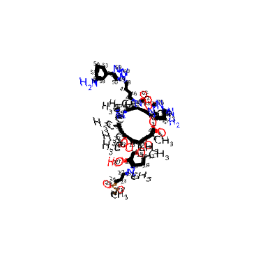 CC[C@H]1OC(=O)[C@H](C)C(=O)[C@H](C)[C@@H](O[C@@H]2O[C@H](C)CC(N(C)CCCS(C)(=O)=O)C2O)[C@](C)(OC)C[C@@H](C)CN(C)[C@H](C)[C@H]2N(CCCCn3cc(-c4cccc(N)c4)nn3)C(=O)O[C@]12n1ccc(N)nc1=O